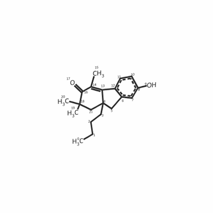 CCCCC12Cc3cc(O)ccc3C1=C(C)C(=O)C(C)(C)C2